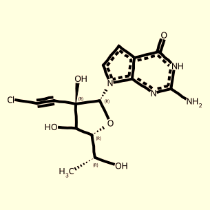 C[C@@H](O)[C@H]1O[C@@H](n2ccc3c(=O)[nH]c(N)nc32)[C@@](O)(C#CCl)C1O